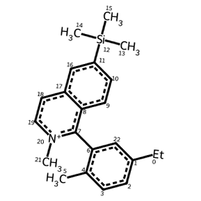 CCc1ccc(C)c(-c2c3ccc([Si](C)(C)C)cc3cc[n+]2C)c1